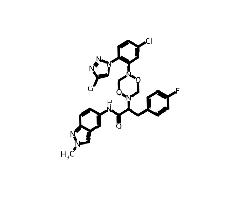 Cn1cc2cc(NC(=O)C(Cc3ccc(F)cc3)N3CON(c4cc(Cl)ccc4-n4cc(Cl)nn4)CO3)ccc2n1